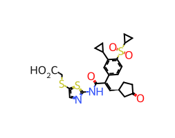 O=C(O)CSc1cnc(NC(=O)/C(=C/[C@H]2CCC(=O)C2)c2ccc(S(=O)(=O)C3CC3)c(C3CC3)c2)s1